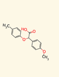 COc1ccc(C(Oc2ccc(C)cc2)C(=O)O)cc1